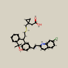 CC(C)(O)c1ccccc1C(CCSCC1(CC(=O)O)CC1)c1cccc(/C=C/c2ccc3ccc(Cl)cc3n2)c1